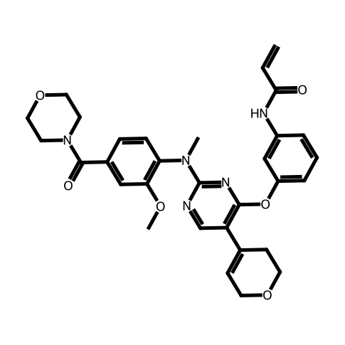 C=CC(=O)Nc1cccc(Oc2nc(N(C)c3ccc(C(=O)N4CCOCC4)cc3OC)ncc2C2=CCOCC2)c1